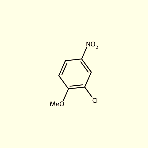 COc1ccc([N+](=O)[O-])cc1Cl